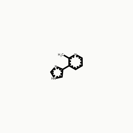 Cc1ncccc1-c1c[nH]cn1